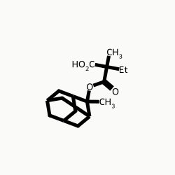 CCC(C)(C(=O)O)C(=O)OC1(C)C2CC3CC(C2)CC1C3